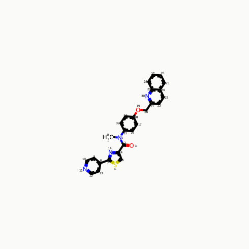 CN(C(=O)c1csc(-c2ccncc2)n1)c1ccc(OCc2ccc3ccccc3n2)cc1